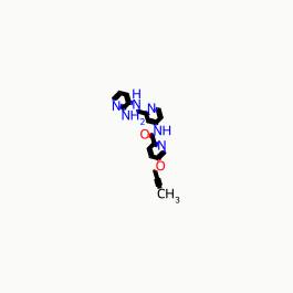 CC#CCOc1ccc(C(=O)Nc2ccnc(CNc3cccnc3N)c2)nc1